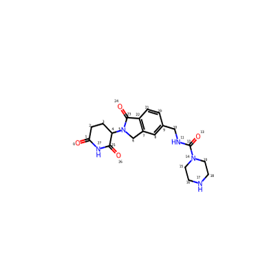 O=C1CCC(N2Cc3cc(CNC(=O)N4CCNCC4)ccc3C2=O)C(=O)N1